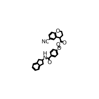 N#Cc1ccc2c(c1)C(C(=O)OOc1ccc(C(=O)NC3Cc4ccccc4C3)cc1)CCO2